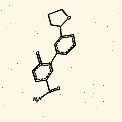 NC(=O)c1ccc(=O)n(-c2cccc(C3CCCO3)c2)c1